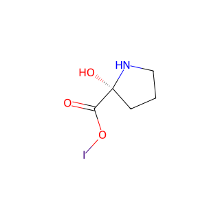 O=C(OI)[C@]1(O)CCCN1